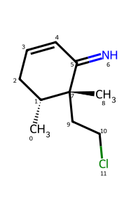 C[C@@H]1CC=CC(=N)[C@]1(C)CCCl